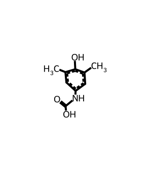 Cc1cc(NC(=O)O)cc(C)c1O